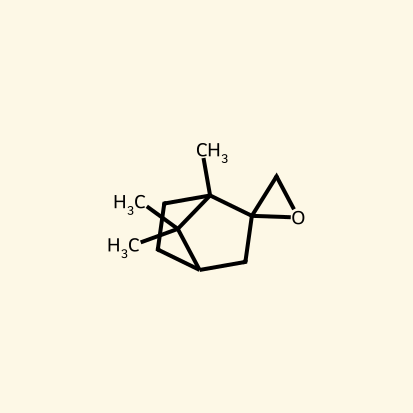 CC1(C)C2CCC1(C)C1(CO1)C2